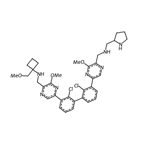 COCC1(NCc2ncc(-c3cccc(-c4cccc(-c5cnc(CNCC6CCCN6)c(OC)n5)c4Cl)c3Cl)nc2OC)CCC1